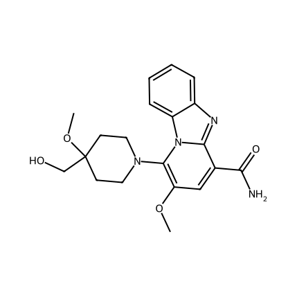 COc1cc(C(N)=O)c2nc3ccccc3n2c1N1CCC(CO)(OC)CC1